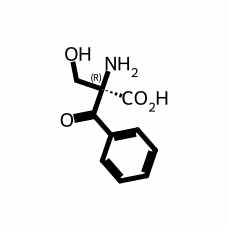 N[C@@](CO)(C(=O)O)C(=O)c1ccccc1